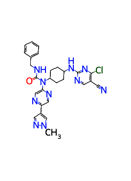 Cn1cc(-c2cnc(N(C(=O)NCc3ccccc3)C3CCC(Nc4ncc(C#N)c(Cl)n4)CC3)cn2)cn1